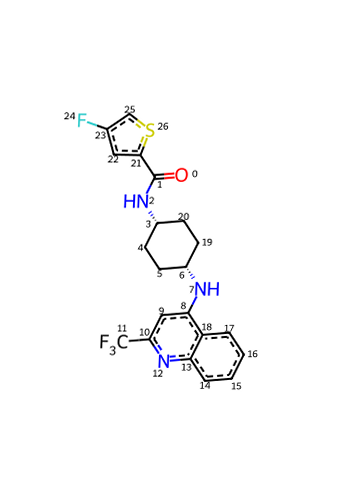 O=C(N[C@H]1CC[C@@H](Nc2cc(C(F)(F)F)nc3ccccc23)CC1)c1cc(F)cs1